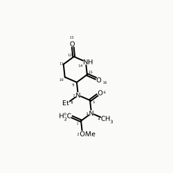 C=C(OC)N(C)C(=O)N(CC)C1CCC(=O)NC1=O